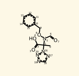 CC(C(=O)O)(N(C=O)OCc1ccccc1)n1ncnn1